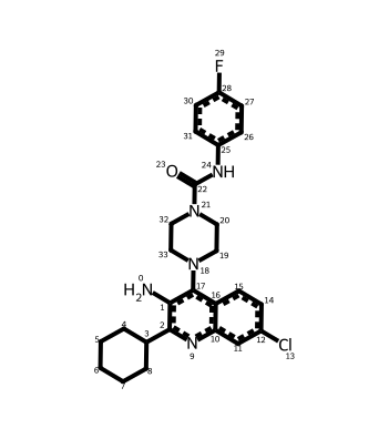 Nc1c(C2CCCCC2)nc2cc(Cl)ccc2c1N1CCN(C(=O)Nc2ccc(F)cc2)CC1